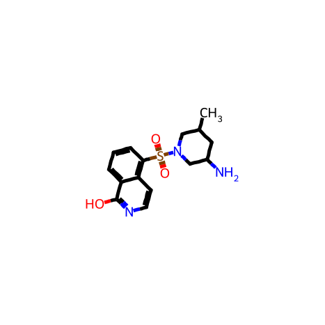 CC1CC(N)CN(S(=O)(=O)c2cccc3c(O)nccc23)C1